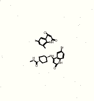 CNC(=O)[C@H]1CC[C@@H](Nc2cc(=O)[nH]c3ccc(Br)cc23)CC1.Cc1cc(I)cc2c(Cl)cc(=O)[nH]c12